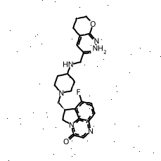 C=C(/C=C1/CCCO/C1=N/N)CNC1CCN(C[C@@H]2Cn3c(=O)cnc4ccc(F)c2c43)CC1